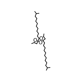 CC(C)CCCCCCCCCCC1(OC2(CCCCCCCCCCC(C)C)CC(C)O2)CC(C)O1